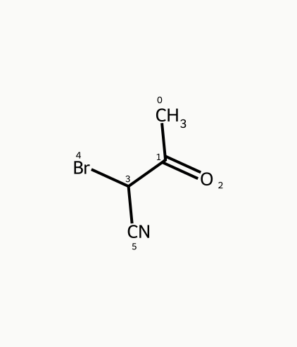 CC(=O)C(Br)C#N